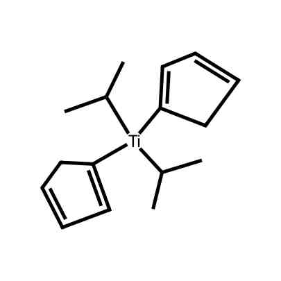 C[CH](C)[Ti]([C]1=CC=CC1)([C]1=CC=CC1)[CH](C)C